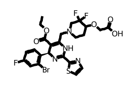 CCOC(=O)C1=C(CN2CCC(OCC(=O)O)C(F)(F)C2)NC(c2nccs2)=N[C@H]1c1ccc(F)cc1Br